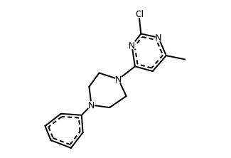 Cc1cc(N2CCN(c3ccccc3)CC2)nc(Cl)n1